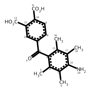 Cc1c(C)c(C(=O)c2ccc(C(=O)O)c(C(=O)O)c2)c(C)c(C)c1N